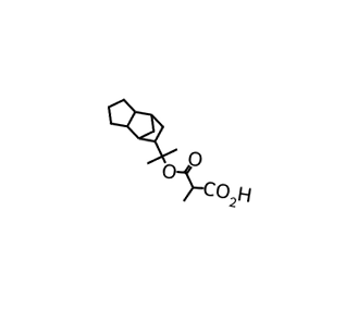 CC(C(=O)O)C(=O)OC(C)(C)C1CC2CC1C1CCCC21